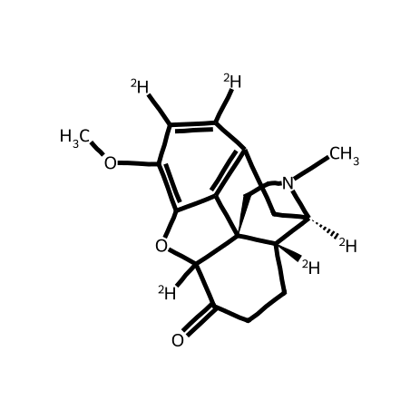 [2H]c1c([2H])c(OC)c2c3c1C[C@@]1([2H])N(C)CC[C@@]34C([2H])(O2)C(=O)CC[C@@]14[2H]